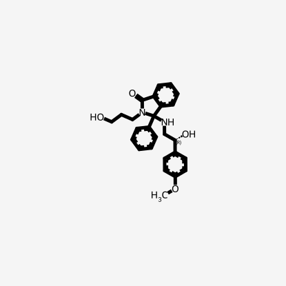 COc1ccc([C@@H](O)CNC2(c3ccccc3)c3ccccc3C(=O)N2CCCO)cc1